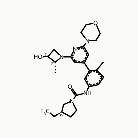 Cc1ccc(NC(=O)N2CC[C@@H](CC(F)(F)F)C2)cc1-c1cc(N2CCOCC2)nc(N2C[C@H](O)[C@H]2C)c1